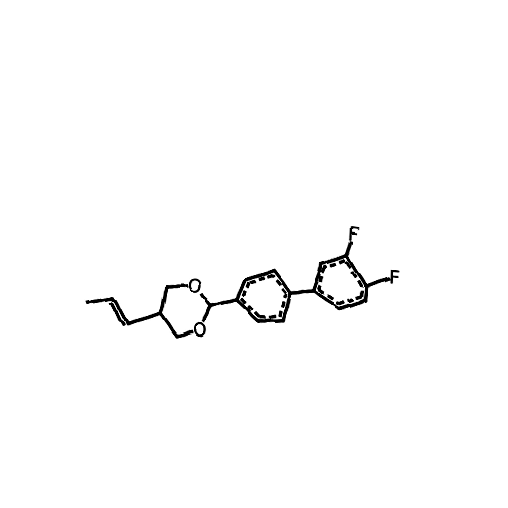 CC=CC1COC(c2ccc(-c3ccc(F)c(F)c3)cc2)OC1